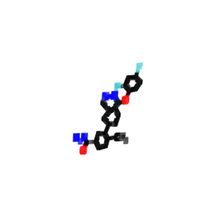 Cc1ccc(C(N)=O)cc1-c1ccc2c(Oc3ccc(F)cc3F)nncc2c1